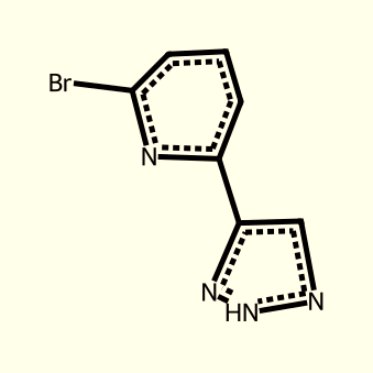 Brc1cccc(-c2cn[nH]n2)n1